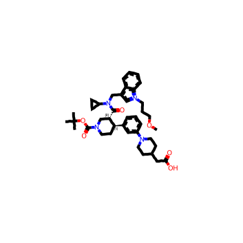 COCCCn1cc(CN(C(=O)[C@H]2CN(C(=O)OC(C)(C)C)CC[C@@H]2c2cccc(N3CCC(CC(=O)O)CC3)c2)C2CC2)c2ccccc21